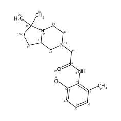 Cc1cccc(Cl)c1NC(=O)CN1CCN2C(COC2(C)C)C1